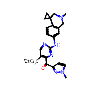 CCOC(=O)c1cnc(Nc2ccc3c(c2)CN(C)CC32CC2)nc1C(=O)c1ccn(C)n1